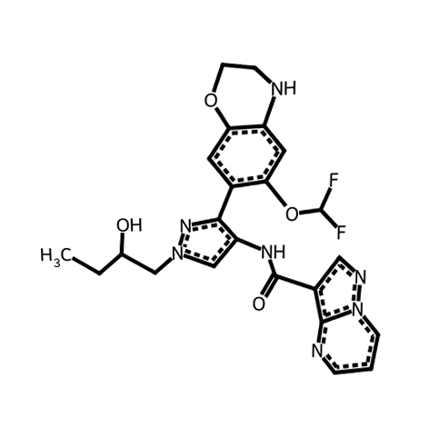 CCC(O)Cn1cc(NC(=O)c2cnn3cccnc23)c(-c2cc3c(cc2OC(F)F)NCCO3)n1